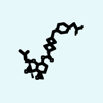 COC1C(OC(=O)N2CC3(CC(CN4CCN(CC(F)F)CC4)C3)C2)CCC2(CO2)C1[C@@]1(C)O[C@@H]1CC=C(C)C